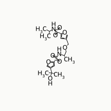 CC(C)NS(=O)(=O)c1cc(COCC(C)NS(=O)(=O)c2cc(C(C)(C)O)co2)co1